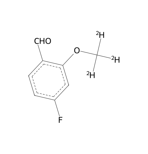 [2H]C([2H])([2H])Oc1cc(F)ccc1C=O